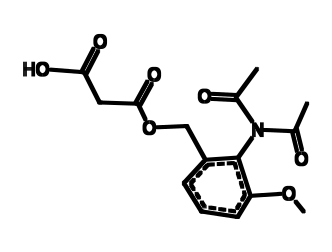 COc1cccc(COC(=O)CC(=O)O)c1N(C(C)=O)C(C)=O